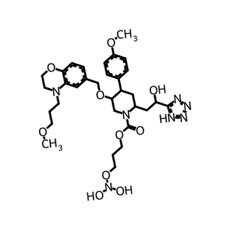 COCCCN1CCOc2ccc(COC3CN(C(=O)OCCCON(O)O)C(CC(O)c4nnn[nH]4)CC3c3ccc(OC)cc3)cc21